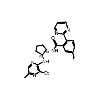 CCc1nc(C)cnc1N[C@H]1CCC[C@@H]1NC(=O)c1cc(F)ccc1-c1ncccn1